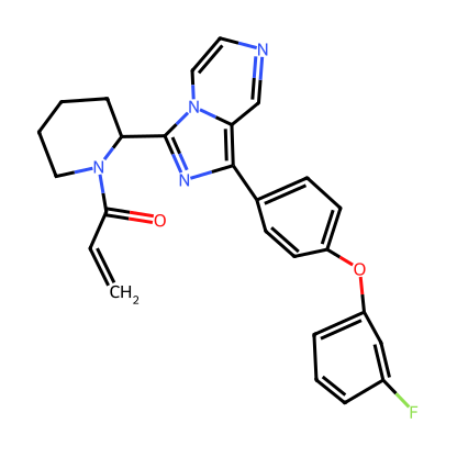 C=CC(=O)N1CCCCC1c1nc(-c2ccc(Oc3cccc(F)c3)cc2)c2cnccn12